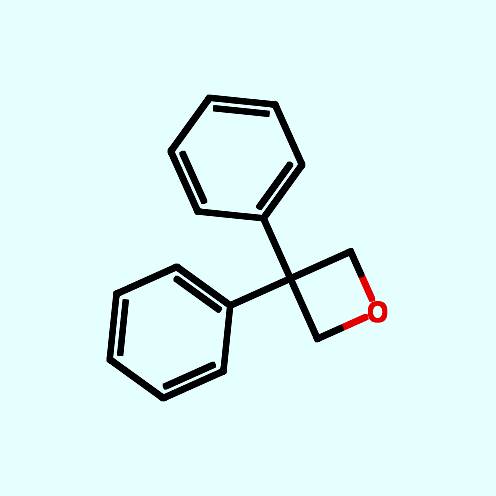 c1ccc(C2(c3ccccc3)COC2)cc1